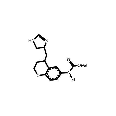 CCN(C(=O)OC)c1ccc2c(c1)C(CC1CNC=N1)CCO2